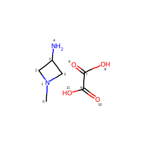 CN1CC(N)C1.O=C(O)C(=O)O